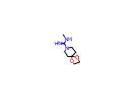 CNC(=N)N1CCC2(CC1)OCCO2